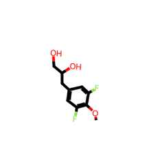 COc1c(F)cc(CC(O)CO)cc1F